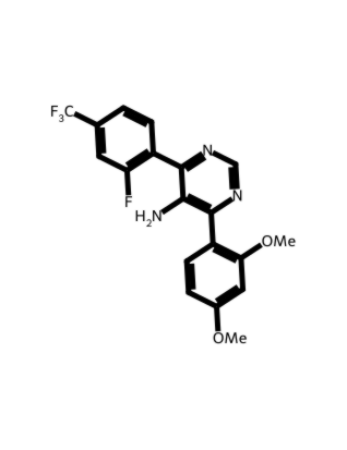 COc1ccc(-c2ncnc(-c3ccc(C(F)(F)F)cc3F)c2N)c(OC)c1